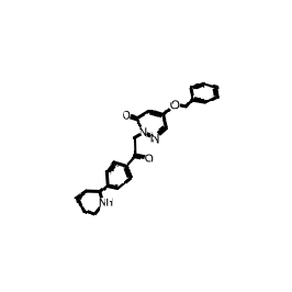 O=C(Cn1ncc(OCc2ccccc2)cc1=O)c1ccc(C2CCCCN2)cc1